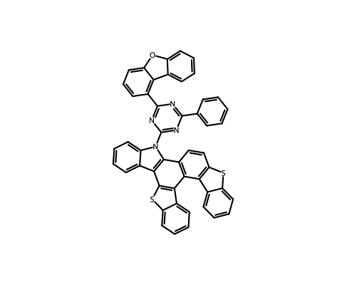 c1ccc(-c2nc(-c3cccc4oc5ccccc5c34)nc(-n3c4ccccc4c4c5sc6ccccc6c5c5c(ccc6sc7ccccc7c65)c43)n2)cc1